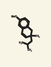 COc1ccc2c(c1)C=CC(C)(CC(C)N)C2